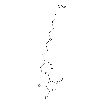 COCCOCCOCCOc1ccc(N2C(=O)C=C(Br)C2=O)cc1